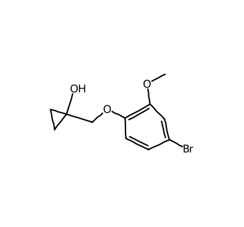 COc1cc(Br)ccc1OCC1(O)CC1